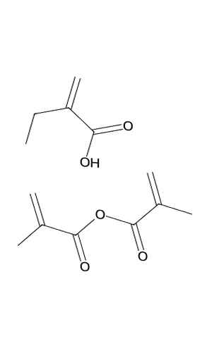 C=C(C)C(=O)OC(=O)C(=C)C.C=C(CC)C(=O)O